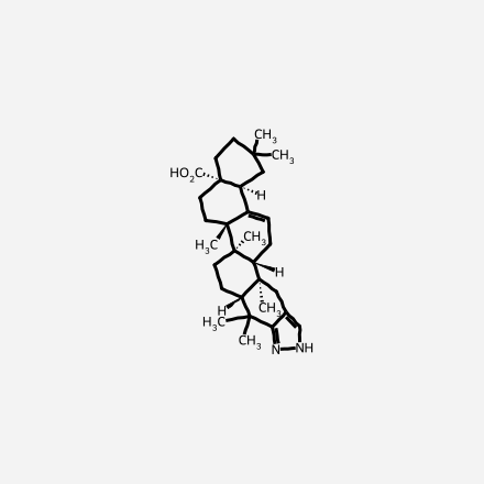 CC1(C)CC[C@]2(C(=O)O)CC[C@]3(C)C(=CC[C@@H]4[C@@]5(C)Cc6c[nH]nc6C(C)(C)[C@@H]5CC[C@]43C)[C@@H]2C1